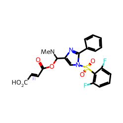 CNC(OC(=O)/C=C/C(=O)O)c1cn(S(=O)(=O)c2c(F)cccc2F)c(-c2ccccc2)n1